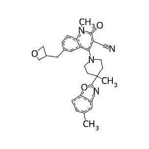 Cc1ccc2oc(C3(C)CCN(c4c(C#N)c(=O)n(C)c5ccc(CC6COC6)cc45)CC3)nc2c1